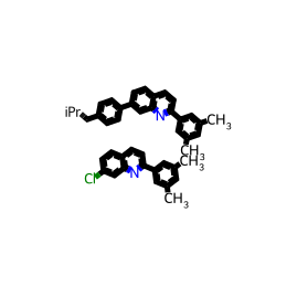 Cc1cc(C)cc(-c2ccc3ccc(-c4ccc(CC(C)C)cc4)cc3n2)c1.Cc1cc(C)cc(-c2ccc3ccc(Cl)cc3n2)c1